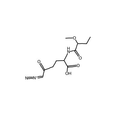 CCC(OC)C(=O)NC(CCC(=O)C=[N+]=[N-])C(=O)O